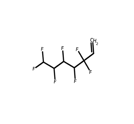 C=CC(F)(F)C(F)C(F)C(F)C(F)F